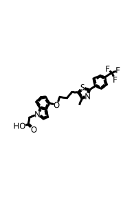 Cc1nc(-c2ccc(C(F)(F)F)cc2)sc1CCCOc1cccc2c1ccn2CC(=O)O